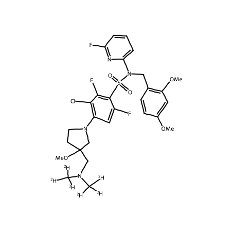 [2H]C([2H])([2H])N(CC1(OC)CCN(c2cc(F)c(S(=O)(=O)N(Cc3ccc(OC)cc3OC)c3cccc(F)n3)c(F)c2Cl)C1)C([2H])([2H])[2H]